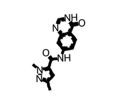 Cc1cc(C(=O)Nc2ccc3c(=O)[nH]cnc3c2)n(C)n1